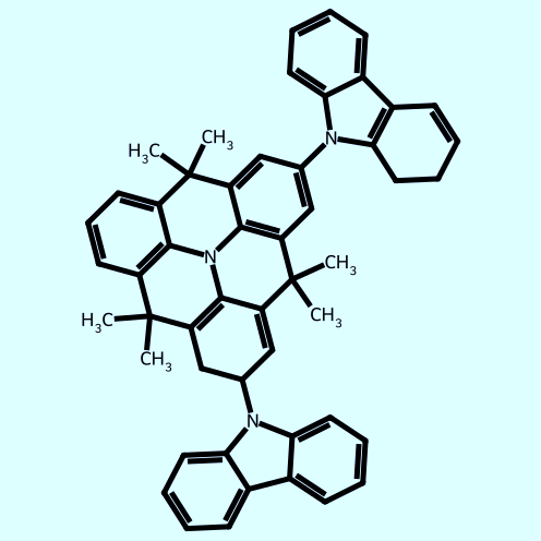 CC1(C)C2=CC(n3c4ccccc4c4ccccc43)CC3=C2N2c4c1cc(-n1c5c(c6ccccc61)C=CCC5)cc4C(C)(C)c1cccc(c12)C3(C)C